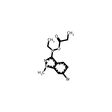 CCC(=O)ON(CC)c1nn(C)c2cc(Br)ccc12